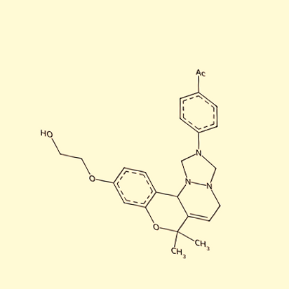 CC(=O)c1ccc(N2CN3CC=C4C(c5ccc(OCCO)cc5OC4(C)C)N3C2)cc1